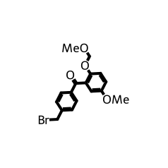 COCOc1ccc(OC)cc1C(=O)c1ccc(CBr)cc1